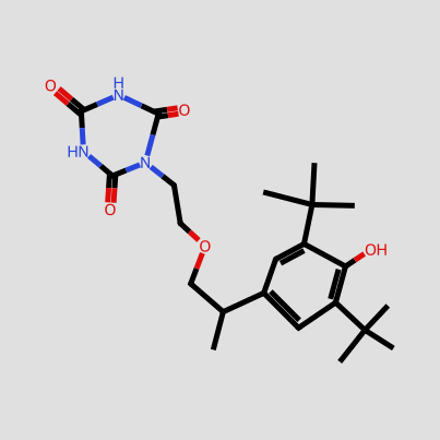 CC(COCCn1c(=O)[nH]c(=O)[nH]c1=O)c1cc(C(C)(C)C)c(O)c(C(C)(C)C)c1